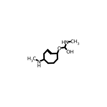 CNC1C/C=C/C(OC(O)NC)CCC1